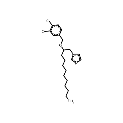 CCCCCCCCCCC(Cn1ccnc1)OCc1ccc(Cl)c(Cl)c1